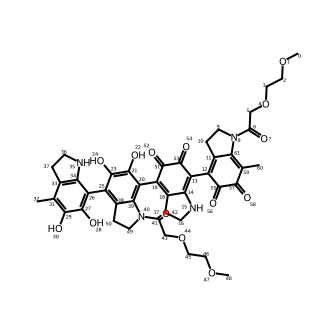 COCCOCC(=O)N1CCC2=C(C3=C4NCCC4=C(c4c(O)c(O)c(-c5c(O)c(O)c(C)c6c5NCC6)c5c4N(C(=O)COCCOC)CC5)C(=O)C3=O)C(=O)C(=O)C(C)=C21